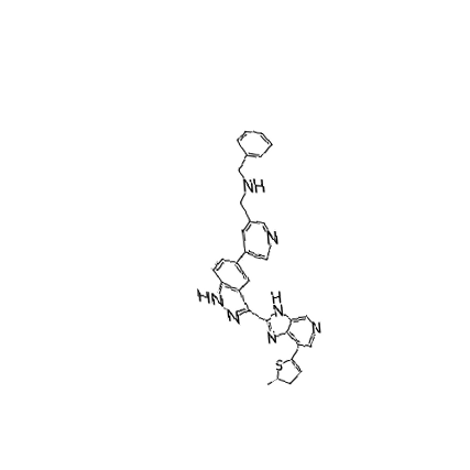 CC1CC=C(c2cncc3[nH]c(-c4n[nH]c5ccc(-c6cncc(CNCc7ccccc7)c6)cc45)nc23)S1